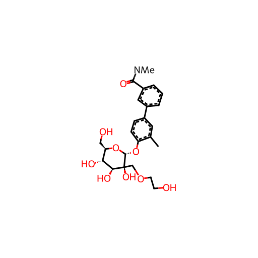 CNC(=O)c1cccc(-c2ccc(O[C@H]3O[C@H](CO)[C@@H](O)[C@H](O)[C@@]3(O)COCCO)c(C)c2)c1